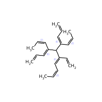 C=C/C=C(\C=C/C)C(/C(C=C)=C/C=C\C)C(/C=C\C)=C/C=C